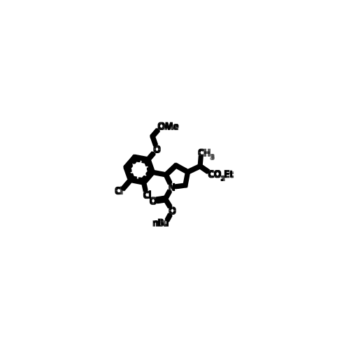 CCCCOC(=O)N1CC(C(C)C(=O)OCC)CC1c1c(OCOC)ccc(Cl)c1Cl